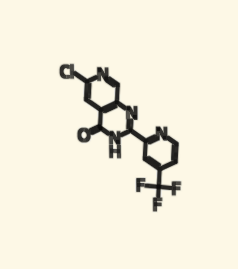 O=c1[nH]c(-c2cc(C(F)(F)F)ccn2)nc2cnc(Cl)cc12